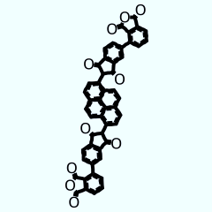 O=C1OC(=O)c2c1cccc2-c1ccc2c(c1)C(=O)C(c1ccc3ccc4c(C5C(=O)c6ccc(-c7cccc8c7C(=O)OC8=O)cc6C5=O)ccc5ccc1c3c54)C2=O